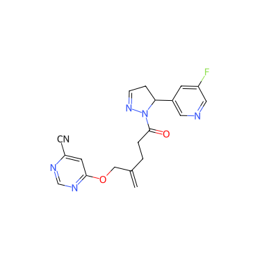 C=C(CCC(=O)N1N=CCC1c1cncc(F)c1)COc1cc(C#N)ncn1